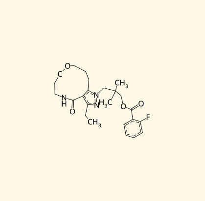 CCc1nn(CC(C)(C)COC(=O)c2ccccc2F)c2c1C(=O)NCCCOCCC2